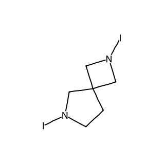 IN1CCC2(C1)CN(I)C2